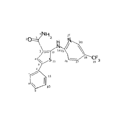 NC(=O)c1cc(-c2ccccc2)sc1Nc1ccc(C(F)(F)F)cn1